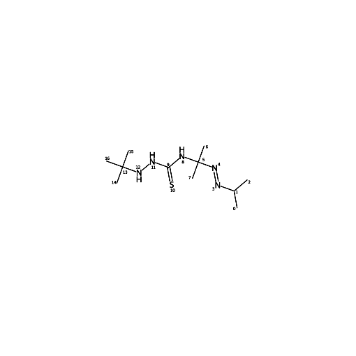 CC(C)N=NC(C)(C)NC(=S)NNC(C)(C)C